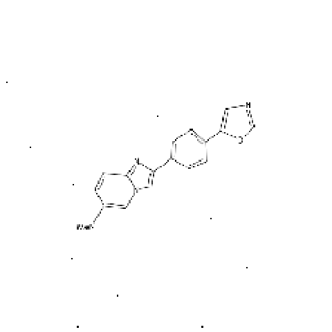 CNc1ccc2nc(-c3ccc(-c4cnco4)cc3)cn2c1